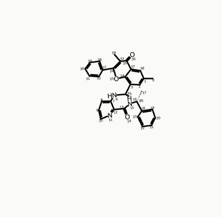 Cc1cc(C(C)Nc2cccnc2C(=O)N[C@H](C)c2ccccc2)c2oc(-c3ccccc3)c(C)c(=O)c2c1